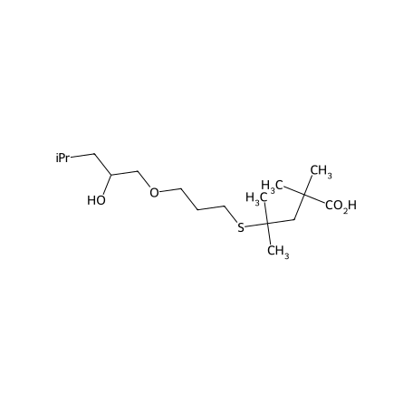 CC(C)CC(O)COCCCSC(C)(C)CC(C)(C)C(=O)O